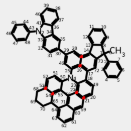 CC1(c2ccccc2)c2ccccc2-c2ccc(-c3ccccc3N(c3cccc(-c4ccc5c(c4)c4ccccc4n5-c4ccccc4)c3)c3ccccc3-c3cccc4cccc(C5CCCCC5)c34)cc21